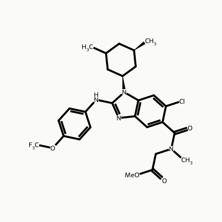 COC(=O)CN(C)C(=O)c1cc2nc(Nc3ccc(OC(F)(F)F)cc3)n([C@H]3CC(C)C[C@@H](C)C3)c2cc1Cl